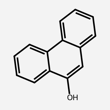 Oc1cc2ccccc2c2ccccc12